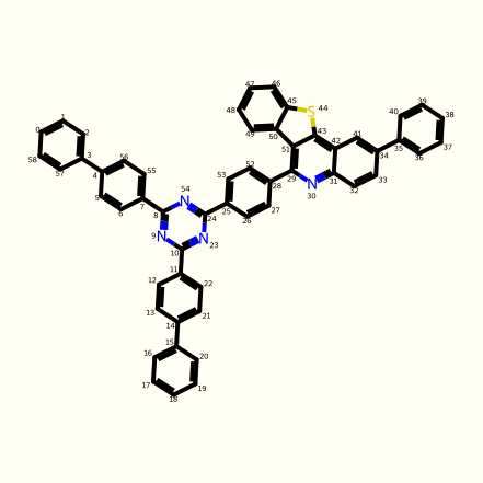 c1ccc(-c2ccc(-c3nc(-c4ccc(-c5ccccc5)cc4)nc(-c4ccc(-c5nc6ccc(-c7ccccc7)cc6c6sc7ccccc7c56)cc4)n3)cc2)cc1